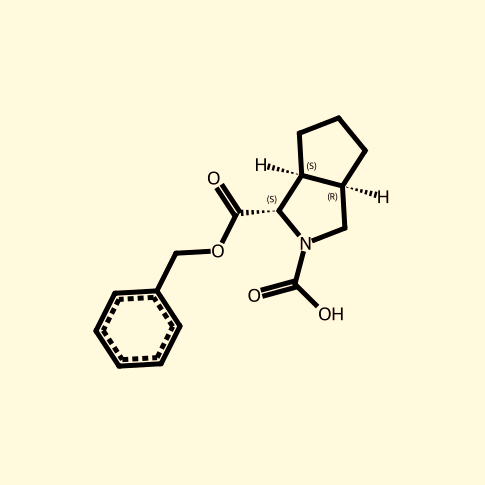 O=C(OCc1ccccc1)[C@@H]1[C@H]2CCC[C@H]2CN1C(=O)O